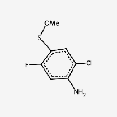 COSc1cc(Cl)c(N)cc1F